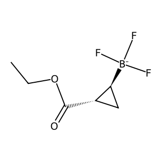 CCOC(=O)[C@H]1C[C@@H]1[B-](F)(F)F